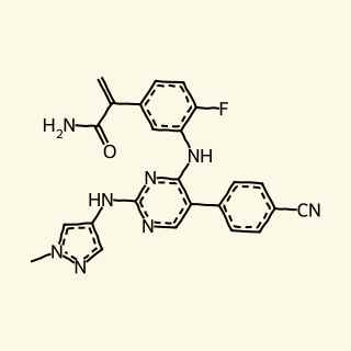 C=C(C(N)=O)c1ccc(F)c(Nc2nc(Nc3cnn(C)c3)ncc2-c2ccc(C#N)cc2)c1